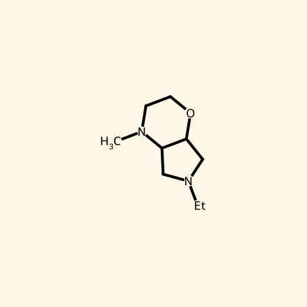 CCN1CC2OCCN(C)C2C1